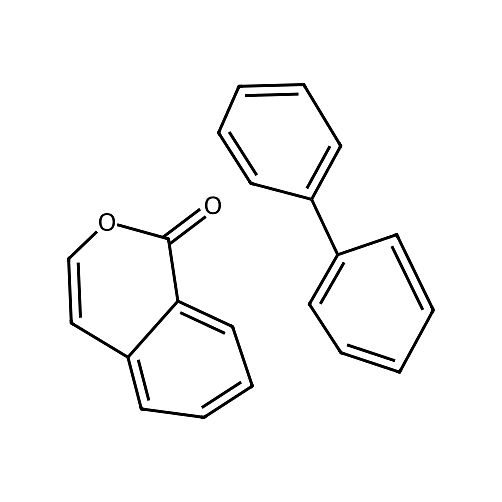 O=c1occc2ccccc12.c1ccc(-c2ccccc2)cc1